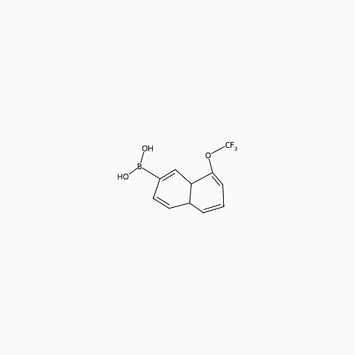 OB(O)C1=CC2C(OC(F)(F)F)=CC=CC2C=C1